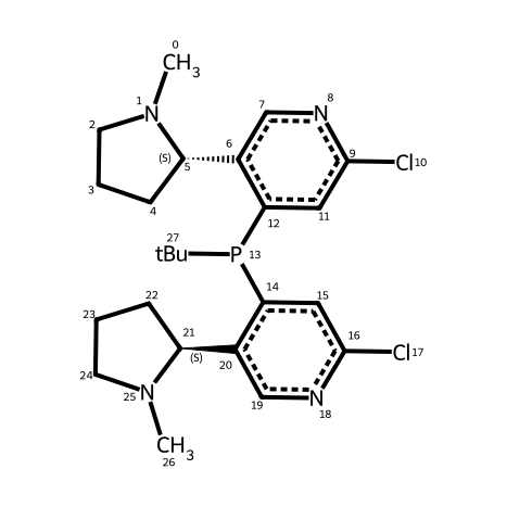 CN1CCC[C@H]1c1cnc(Cl)cc1P(c1cc(Cl)ncc1[C@@H]1CCCN1C)C(C)(C)C